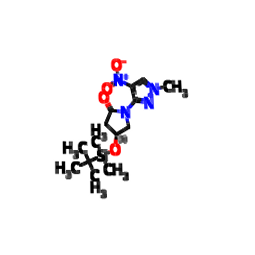 Cn1cc([N+](=O)[O-])c(N2C[C@@H](O[Si](C)(C)C(C)(C)C)CC2=O)n1